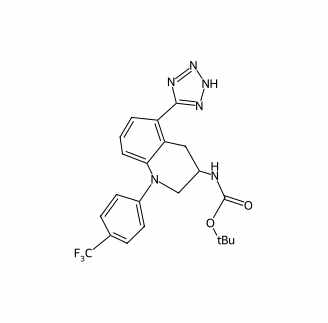 CC(C)(C)OC(=O)NC1Cc2c(-c3nn[nH]n3)cccc2N(c2ccc(C(F)(F)F)cc2)C1